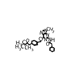 Cn1cnc2c(OCc3ccc(CC(=O)C(C)(C)C)cc3)nc(NC(=O)Cc3ccccc3)nc21